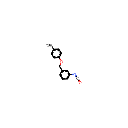 CC(C)(C)c1ccc(OCc2cccc(N=C=O)c2)cc1